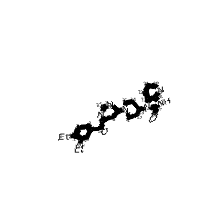 CCc1ccc(C(=O)c2cc(N3CCC(n4c(=O)[nH]c5ncccc54)CC3)ncn2)cc1CC